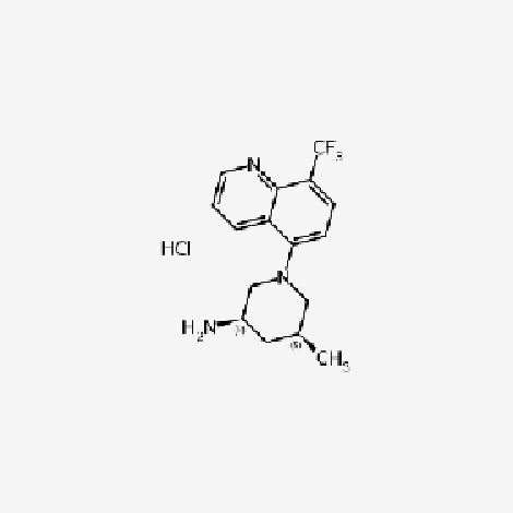 C[C@H]1C[C@@H](N)CN(c2ccc(C(F)(F)F)c3ncccc23)C1.Cl